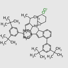 CC(C)C1=Cc2c(-c3cc(C(C)(C)C)cc(C(C)(C)C)c3)cccc2[CH]1[Hf+2]1([CH]2C(C(C)C)=Cc3c(-c4cc(C(C)(C)C)cc(C(C)(C)C)c4)cccc32)[CH]2CCCC[CH]21.[Cl-].[Cl-]